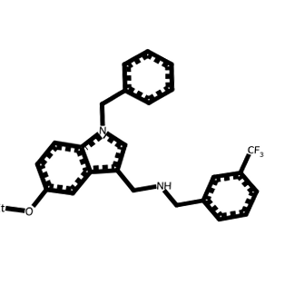 CCOc1ccc2c(c1)c(CNCc1cccc(C(F)(F)F)c1)cn2Cc1ccccc1